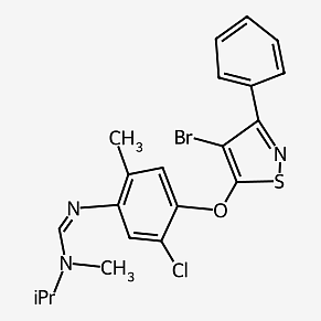 Cc1cc(Oc2snc(-c3ccccc3)c2Br)c(Cl)cc1/N=C\N(C)C(C)C